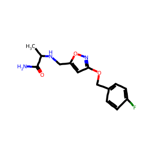 CC(NCc1cc(OCc2ccc(F)cc2)no1)C(N)=O